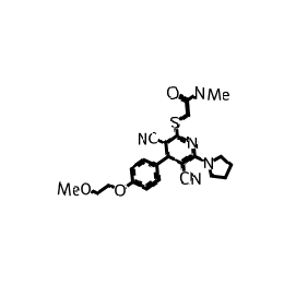 CNC(=O)CSC1=NC(N2CCCC2)=C(C#N)C(c2ccc(OCCOC)cc2)C1C#N